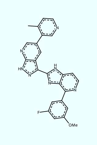 COc1cc(F)cc(-c2nccc3[nH]c(-c4n[nH]c5ncc(-c6cnccc6C)cc45)nc23)c1